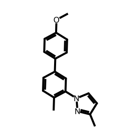 COc1ccc(-c2ccc(C)c(-n3ccc(C)n3)c2)cc1